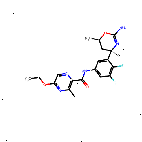 Cc1nc(OCC(F)(F)F)cnc1C(=O)Nc1cc(F)c(F)c([C@@]2(C)C[C@@H](C(F)(F)F)OC(N)=N2)c1